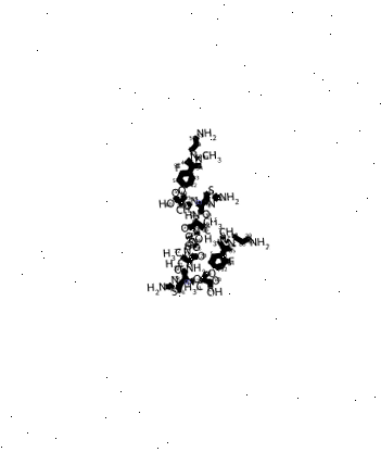 C[n+]1cc(-c2ccc(OC[C@](C)(O/N=C(\C(=O)N[C@@H]3C(=O)N(OS(=O)(=O)ON4C(=O)[C@@H](NC(=O)/C(=N\O[C@@](C)(COc5ccc(-c6cn(CCCN)[n+](C)c6)c(F)c5)C(=O)O)c5csc(N)n5)C4(C)C)C3(C)C)c3csc(N)n3)C(=O)O)cc2F)cn1CCCN